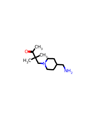 CC(=O)C(C)(C)CN1CCC(CN)CC1